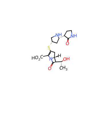 C[C@@H](O)[C@H]1C(=O)N2C(C(=O)O)=C(S[C@@H]3CN[C@H](C4CCNC4=O)C3)C[C@H]12